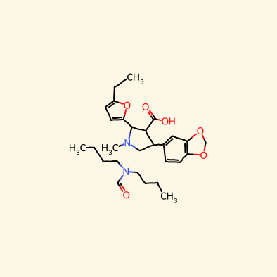 CCCCN(C=O)CCCC.CCc1ccc(C2C(C(=O)O)C(c3ccc4c(c3)OCO4)CN2C)o1